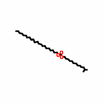 CCCCCCCCC=CCCCCCCCCCCCCOC(=O)OCCCCCCCCCCCC(C)C